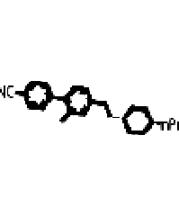 CCC[C@H]1CC[C@H](CCc2ccc(-c3ccc(C#N)cc3)c(C)c2)CC1